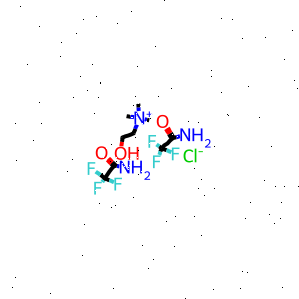 C[N+](C)(C)CCO.NC(=O)C(F)(F)F.NC(=O)C(F)(F)F.[Cl-]